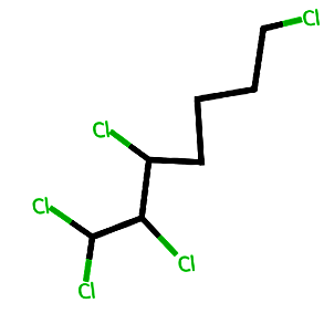 ClCCCCC(Cl)C(Cl)C(Cl)Cl